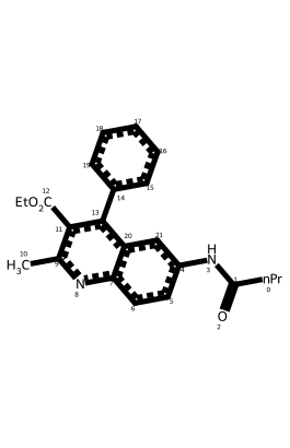 CCCC(=O)Nc1ccc2nc(C)c(C(=O)OCC)c(-c3ccccc3)c2c1